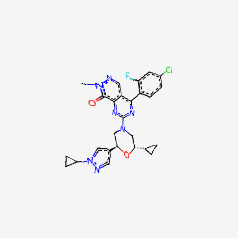 Cn1ncc2c(-c3ccc(Cl)cc3F)nc(N3C[C@H](c4cnn(C5CC5)c4)O[C@@H](C4CC4)C3)nc2c1=O